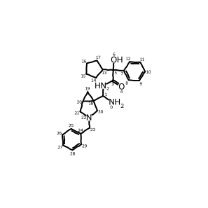 NC(NC(=O)C(O)(c1ccccc1)C1CCCC1)C12CC1CN(Cc1ccccc1)C2